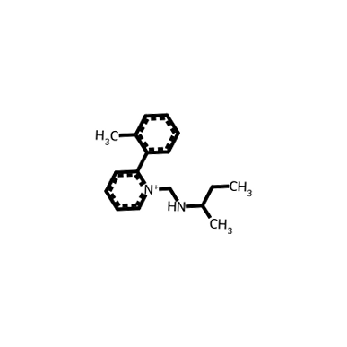 CCC(C)NC[n+]1ccccc1-c1ccccc1C